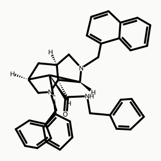 O=C(NCc1ccccc1)[C@@]12[C@H]3C[C@H](CN1Cc1ccccc1)[C@@H](Cc1ccccc1)[C@@H]2N(Cc1cccc2ccccc12)C3